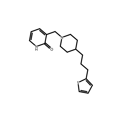 O=c1[nH]cccc1CN1CCC(CCCc2cccs2)CC1